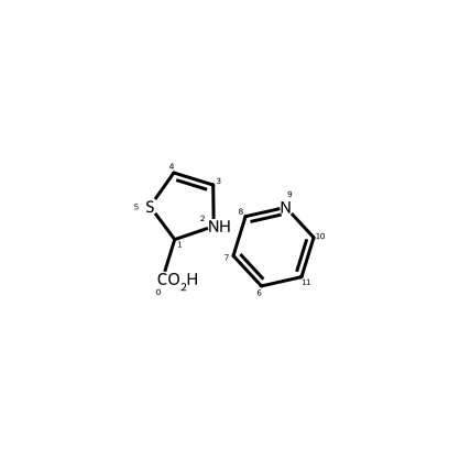 O=C(O)C1NC=CS1.c1ccncc1